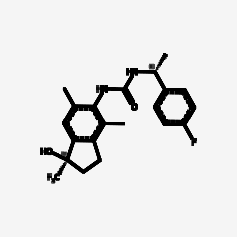 Cc1cc2c(c(C)c1NC(=O)N[C@H](C)c1ccc(F)cc1)CC[C@]2(O)C(F)(F)F